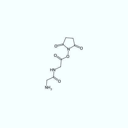 NCC(=O)NCC(=O)ON1C(=O)CCC1=O